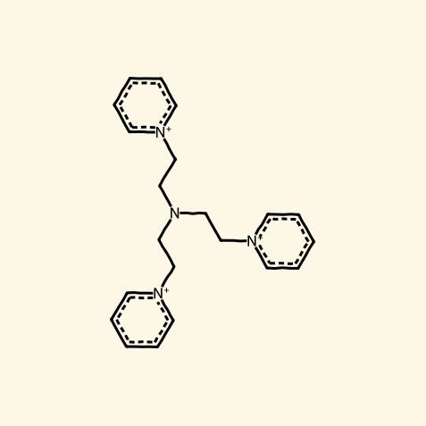 c1cc[n+](CCN(CC[n+]2ccccc2)CC[n+]2ccccc2)cc1